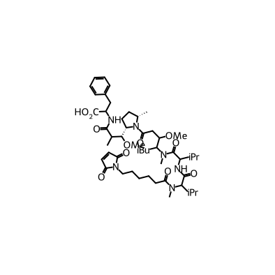 CCC(C)C(C(CC(=O)N1[C@@H](C)CC[C@H]1C(OC)C(C)C(=O)NC(Cc1ccccc1)C(=O)O)OC)N(C)C(=O)C(NC(=O)C(C(C)C)N(C)C(=O)CCCCCN1C(=O)C=CC1=O)C(C)C